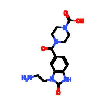 NCCn1c(=O)[nH]c2ccc(C(=O)N3CCN(C(=O)O)CC3)cc21